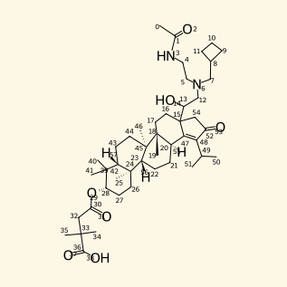 CC(=O)NCCN(CC1CCC1)CC(O)C12CC[C@]3(C)[C@H](CC[C@@H]4[C@@]5(C)CC[C@H](OC(=O)CC(C)(C)C(=O)O)C(C)(C)[C@@H]5CC[C@]43C)C1=C(C(C)C)C(=O)C2